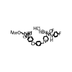 CCCCN(C(=O)Nc1ccc(F)cc1F)C1CCN(Cc2ccc(Oc3ccc(S(=O)(=O)NCCOC)cc3)cc2)CC1.Cl